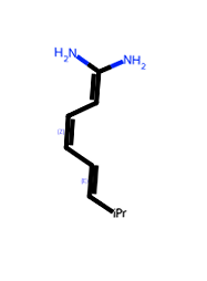 CC(C)/C=C/C=C\C=C(N)N